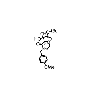 COc1ccc(CN2CCO[C@H](C(C)(O)C(=O)OC(C)(C)C)C2=O)cc1